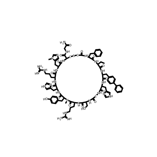 CCC1NC(=O)C(Cc2ccccc2)NC(=O)CSCC(C(=O)NCC(N)=O)NC(=O)C(Cc2cncn2C)NC(=O)C(CCCNC(=N)N)NC(=O)C(Cc2c[nH]cn2)NC(=O)C(Cc2ccc(O)cc2)N(C)C(=O)C(CCCNC(=N)N)NC(=O)C(CO)NC(=O)CNC(=O)C(Cc2c[nH]cn2)NC(=O)C(Cc2ccc(-c3ccccc3)cc2)NC1=O